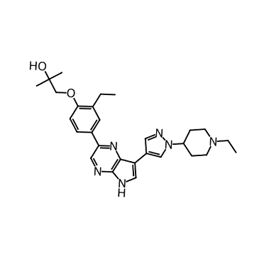 CCc1cc(-c2cnc3[nH]cc(-c4cnn(C5CCN(CC)CC5)c4)c3n2)ccc1OCC(C)(C)O